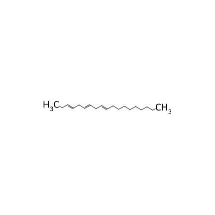 CC/C=C/C/C=C/C/C=C/CCCCCCCCC